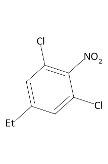 CCc1cc(Cl)c([N+](=O)[O-])c(Cl)c1